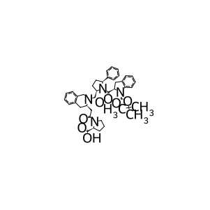 CC(C)(C)OC(=O)N1c2ccccc2C[C@@H]1C(=O)N1[C@@H](C(=O)N2Cc3ccccc3C[C@@H]2CC(=O)N2CCC[C@H]2C(=O)O)CC[C@H]1c1ccccc1